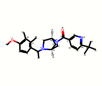 COc1ccc(C(C)N2C[C@@H]3C[C@H]2CN3C(=O)c2ccc(C(C)(C)C)nc2)c(C)c1C